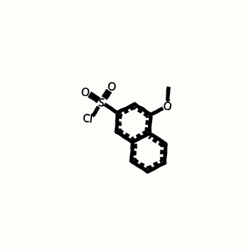 COc1cc(S(=O)(=O)Cl)cc2ccccc12